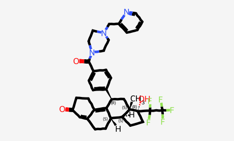 C[C@]12C[C@H](c3ccc(C(=O)N4CCN(Cc5ccccn5)CC4)cc3)C3=C4CCC(=O)C=C4CC[C@H]3[C@@H]1CC[C@]2(O)C(F)(F)C(F)(F)F